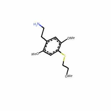 COCCSc1cc(OC)c(CCN)cc1OC